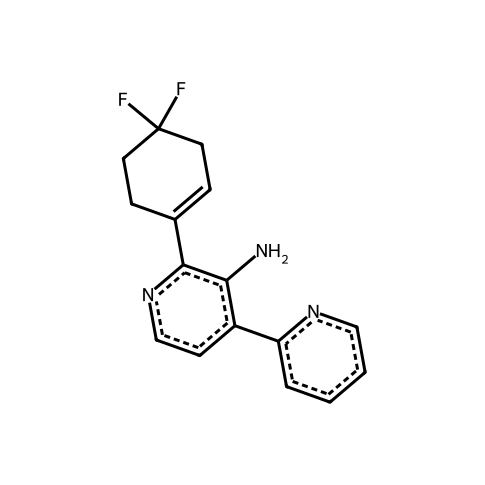 Nc1c(-c2ccccn2)ccnc1C1=CCC(F)(F)CC1